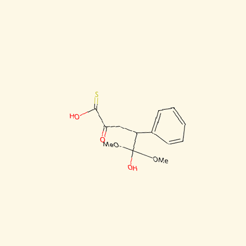 COC(O)(OC)C(CC(=O)C(O)=S)c1ccccc1